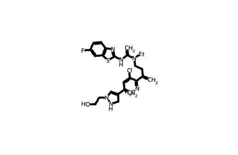 C=C(/C=C(Cl)\C(=N/C)C(=C)CCN(CC)C(=C)Nc1nc2ccc(F)cc2s1)C1=CN(CCO)NC1